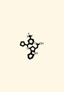 O=C(O)CC1CC(OC(c2cccc(C(F)(F)F)c2)C2CCCC2)c2c1[nH]c1ccccc21